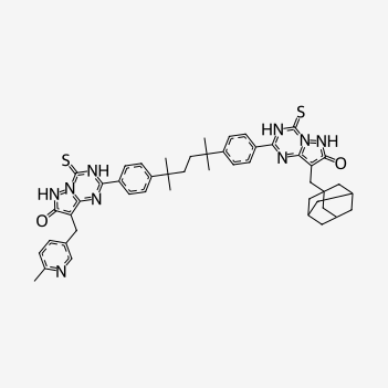 Cc1ccc(Cc2c(=O)[nH]n3c(=S)[nH]c(-c4ccc(C(C)(C)CCC(C)(C)c5ccc(-c6nc7c(CC89CC%10CC(CC(C%10)C8)C9)c(=O)[nH]n7c(=S)[nH]6)cc5)cc4)nc23)cn1